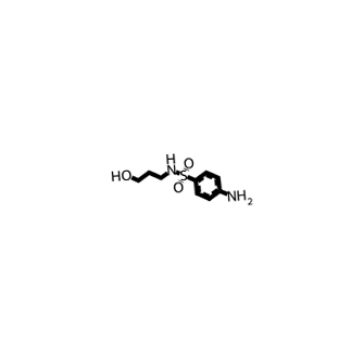 Nc1ccc(S(=O)(=O)NCCCO)cc1